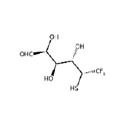 O=C[C@@H](O)[C@H](O)[C@H](O)[C@@H](S)C(F)(F)F